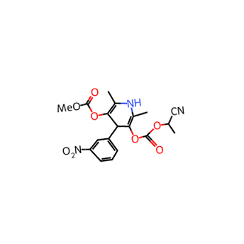 COC(=O)OC1=C(C)NC(C)=C(OC(=O)OC(C)C#N)C1c1cccc([N+](=O)[O-])c1